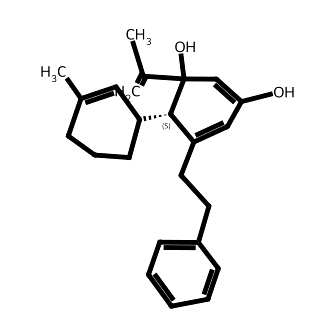 C=C(C)C1(O)C=C(O)C=C(CCc2ccccc2)[C@@H]1C1C=C(C)CCC1